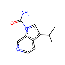 CC(C)c1cn(C(N)=O)c2cnccc12